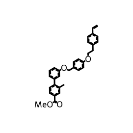 C=Cc1ccc(CCOc2ccc(COc3cccc(-c4ccc(C(=O)OC)cc4C)c3)cc2)cc1